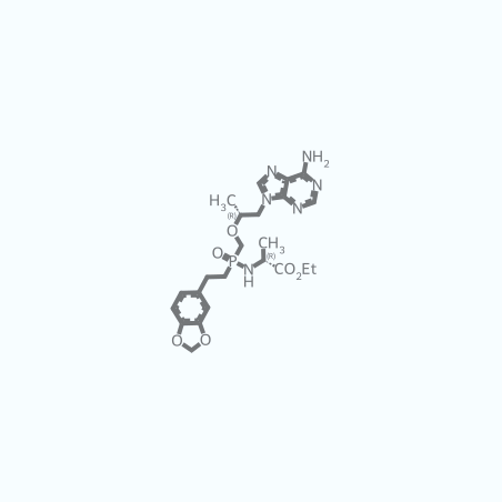 CCOC(=O)[C@@H](C)NP(=O)(CCc1ccc2c(c1)OCO2)CO[C@H](C)Cn1cnc2c(N)ncnc21